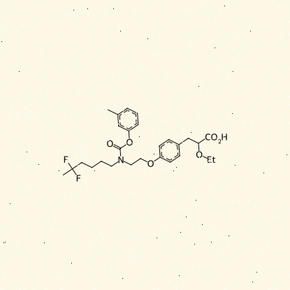 CCOC(Cc1ccc(OCCN(CCCCC(C)(F)F)C(=O)Oc2cccc(C)c2)cc1)C(=O)O